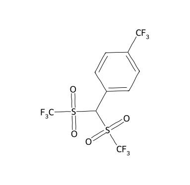 O=S(=O)(C(c1ccc(C(F)(F)F)cc1)S(=O)(=O)C(F)(F)F)C(F)(F)F